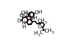 CO[C@@H]1C(=O)Nc2ccc(CC[C@@]3(C)CCC(C(C)C)O3)c(O)c2[C@@]1(O)c1ccc(O)cc1